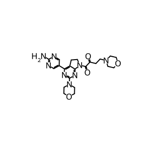 Nc1ncc(-c2nc(N3CCOCC3)nc3c2CCN3C(=O)C(=O)CCN2CCOCC2)cn1